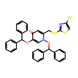 O=c1cc(CSc2nc(S)cs2)n(OC(c2ccccc2)c2ccccc2)cc1OC(c1ccccc1)c1ccccc1